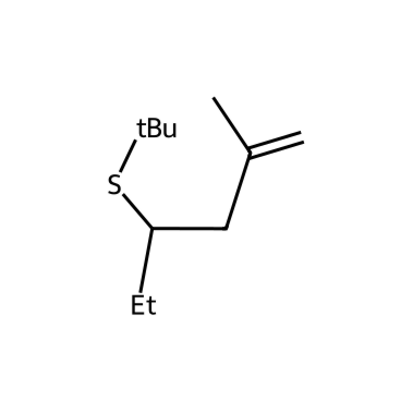 C=C(C)CC(CC)SC(C)(C)C